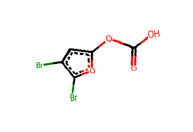 O=C(O)Oc1cc(Br)c(Br)o1